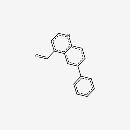 O=Cc1ccnc2ccc(-c3ccccc3)cc12